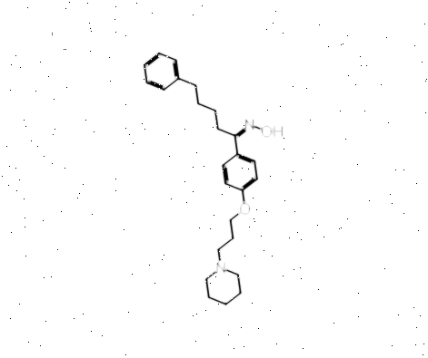 ON=C(CCCCc1ccccc1)c1ccc(OCCCN2CCCCC2)cc1